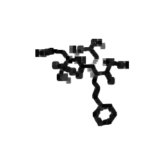 C#CCN(NC(=O)[C@H](CC(C)C)[C@H](CC=Cc1ccccc1)C(=O)NO)S(C)(=O)=O